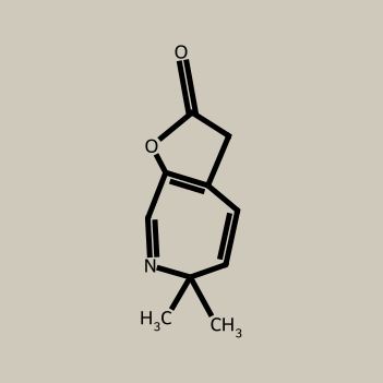 CC1(C)C=CC2=C(C=N1)OC(=O)C2